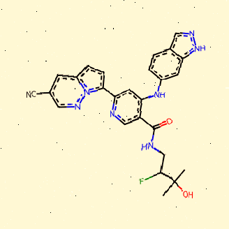 CC(C)(O)C(F)CNC(=O)c1cnc(-c2ccc3cc(C#N)cnn23)cc1Nc1ccc2cn[nH]c2c1